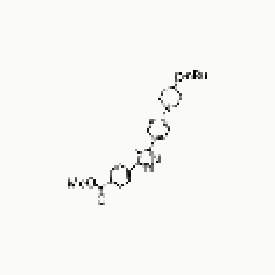 CCCCOC1CCN(c2ccc(-c3nnc(-c4ccc(C(=O)OC)cc4)s3)cc2)CC1